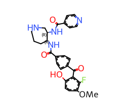 COc1ccc(O)c(C(=O)c2ccc(C(=O)N[C@@H]3CCCNC[C@H]3NC(=O)c3ccncc3)cc2)c1F